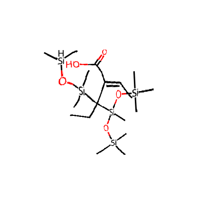 CC=C(C(=O)O)C(CC)([Si](C)(C)O[SiH](C)C)[Si](C)(O[Si](C)(C)C)O[Si](C)(C)C